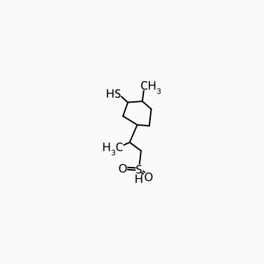 CC1CCC(C(C)C[SH](=O)=O)CC1S